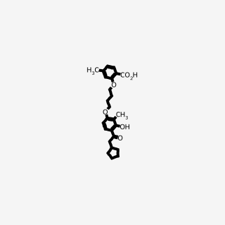 Cc1ccc(C(=O)O)c(OCCCCOc2ccc(C(=O)CC3CCCC3)c(O)c2C)c1